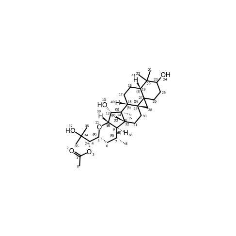 CC(=O)O[C@@H]([C@H]1C[C@@H](C)[C@H]2[C@H](O1)[C@H](O)[C@@]1(C)[C@@H]3CC[C@@H]4C(C)(C)C(O)CCC45C[C@@]35CC[C@]21C)C(C)(C)O